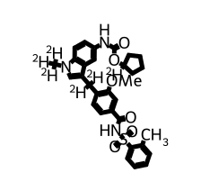 [2H]C1(OC(=O)Nc2ccc3c(c2)c(C([2H])([2H])c2ccc(C(=O)NS(=O)(=O)c4ccccc4C)cc2OC)cn3C([2H])([2H])[2H])CCCC1